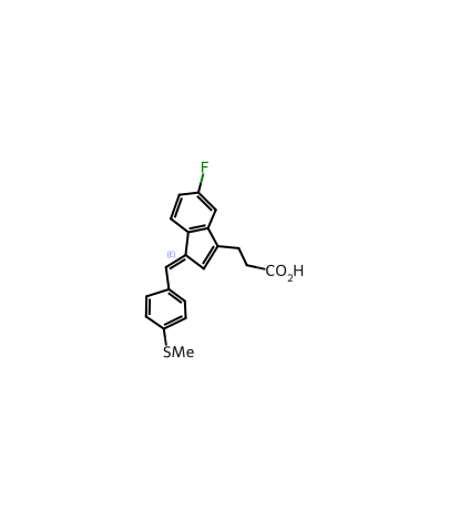 CSc1ccc(/C=C2\C=C(CCC(=O)O)c3cc(F)ccc32)cc1